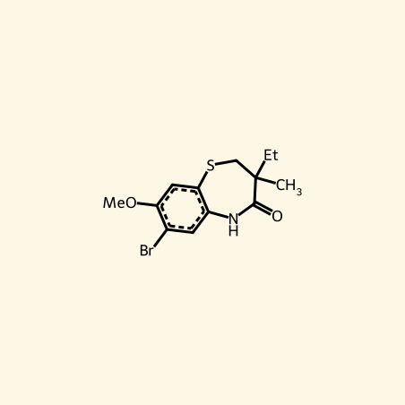 CCC1(C)CSc2cc(OC)c(Br)cc2NC1=O